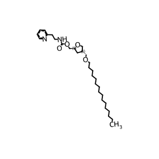 CCCCCCCCCCCCCCCCOC[C@H]1CO[C@H](COC(=O)NCCc2ccccn2)C1